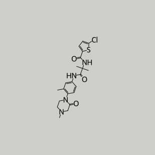 Cc1cc(NC(=O)C(C)(C)NC(=O)c2ccc(Cl)s2)ccc1N1CCN(C)CC1=O